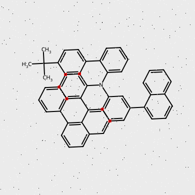 CC(C)(C)c1ccc(-c2ccccc2N(c2cccc(-c3cccc4ccccc34)c2)c2ccccc2-c2cccc3cccc(-c4ccccc4)c23)cc1